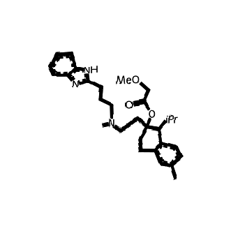 COCC(=O)OC1(CCN(C)CCCc2nc3ccccc3[nH]2)CCc2cc(C)ccc2C1C(C)C